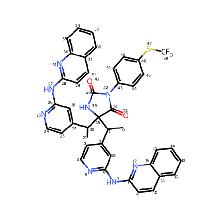 CC(c1ccnc(Nc2ccc3ccccc3n2)c1)C1(C(C)c2ccnc(Nc3ccc4ccccc4n3)c2)NC(=O)N(c2ccc(SC(F)(F)F)cc2)C1=O